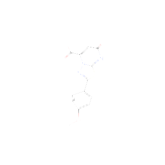 COc1ccc(-c2nn3c(C(=O)O)cc(=O)nc3s2)cc1